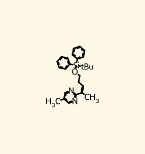 CC(=CCCO[Si](c1ccccc1)(c1ccccc1)C(C)(C)C)c1ncc(C)cn1